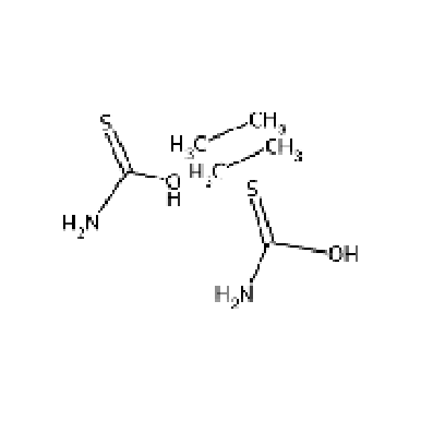 CC.CC.NC(O)=S.NC(O)=S